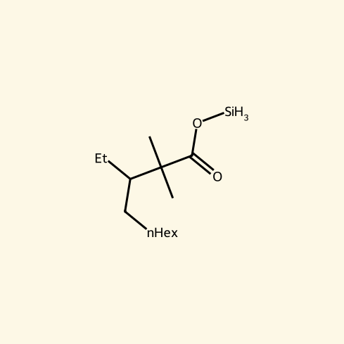 CCCCCCCC(CC)C(C)(C)C(=O)O[SiH3]